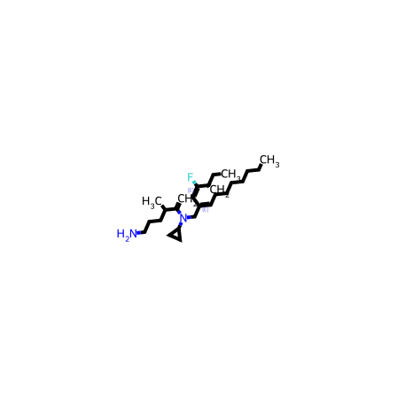 C=C(CC)/C(F)=C\C(=C/CCCCCCC)CN(C(=C)C(C)CCCN)C1CC1